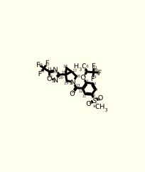 CC(Oc1ccc(S(C)(=O)=O)cc1C(=O)N1CC2CC2(c2noc(C(F)(F)F)n2)C1)C(F)(F)F